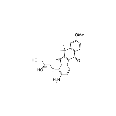 COc1ccc2c(c1)C(C)(C)c1[nH]c3c(OC[C@@H](O)CO)c(N)ccc3c1C2=O